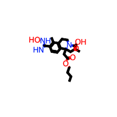 CCCCOC(=O)CC1(CC(C)C)c2ccc(C(=N)NO)c(C)c2CCN1C(=O)O